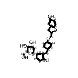 Cc1ccc2c(c1)CC(COc1ccc(Cc3cc([C@H]4C[C@@H](O)[C@H](O)[C@@H](CO)O4)ccc3Cl)cc1)O2